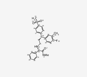 CNC(=O)[C@H](NCC[C@@H](c1ccc(S(C)(=O)=O)cc1)c1ccc(F)c(C)c1)c1ccccc1